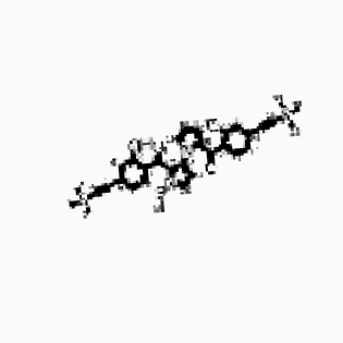 CS(C)(C)C#Cc1ccc(C(=O)c2c(-n3cccc3C(=O)c3ccc(C#CS(C)(C)C)cc3O)ccn2SI)c(O)c1